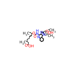 CCOCc1nc2c(NC(=O)OC(/C=C/CCC(C)CC(=O)O)CC)nc3ccccc3c2n1CC(C)(C)O